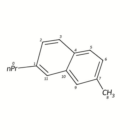 CCCc1ccc2ccc(C)cc2c1